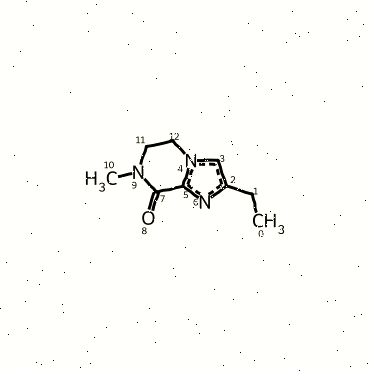 CCc1cn2c(n1)C(=O)N(C)CC2